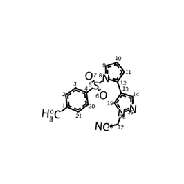 Cc1ccc(S(=O)(=O)n2cccc2-c2cnn(CC#N)c2)cc1